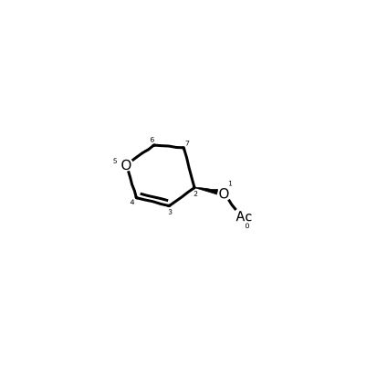 CC(=O)O[C@H]1C=COCC1